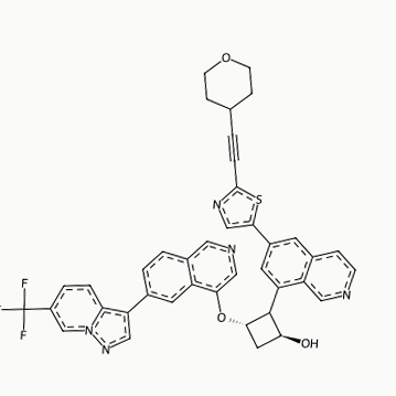 O[C@H]1C[C@H](Oc2cncc3ccc(-c4cnn5cc(C(F)(F)F)ccc45)cc23)C1c1cc(-c2cnc(C#CC3CCOCC3)s2)cc2ccncc12